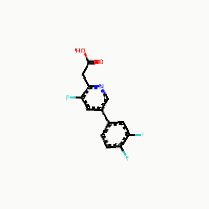 O=C(O)Cc1ncc(-c2ccc(F)c(F)c2)cc1F